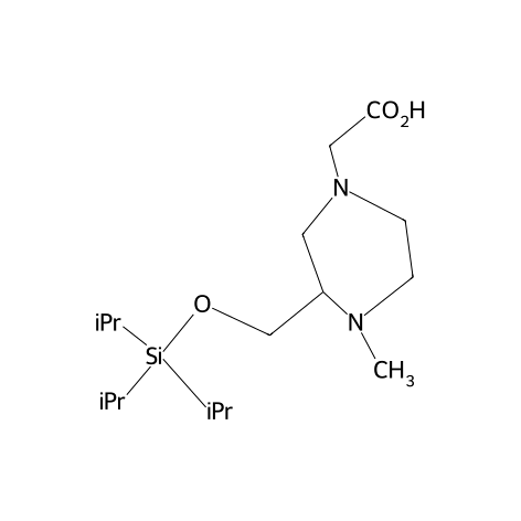 CC(C)[Si](OCC1CN(CC(=O)O)CCN1C)(C(C)C)C(C)C